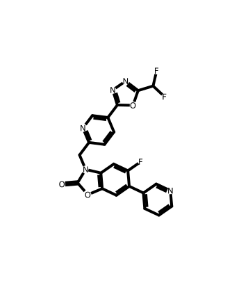 O=c1oc2cc(-c3cccnc3)c(F)cc2n1Cc1ccc(-c2nnc(C(F)F)o2)cn1